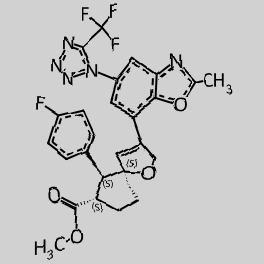 COC(=O)[C@H]1CC[C@@]2(C=C(c3cc(-n4nnnc4C(F)(F)F)cc4nc(C)oc34)CO2)[C@@H]1c1ccc(F)cc1